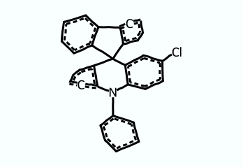 Clc1ccc2c(c1)C1(c3ccccc3-c3ccccc31)c1ccccc1N2c1ccccc1